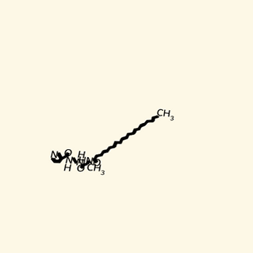 CCC=CCC=CCC=CCC=CCC=CCC=CCCC(=O)NC(C)C(=O)NCCNC(=O)c1cccnc1